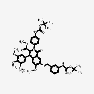 COC(=O)c1c(-c2cc(OC)c(OC)c(OC)c2)c2cc(OC)c(OCc3cccc(NC(=O)OC(C)(C)C)c3)cc2c(=O)n1-c1ccc(NC(=O)OC(C)(C)C)cc1